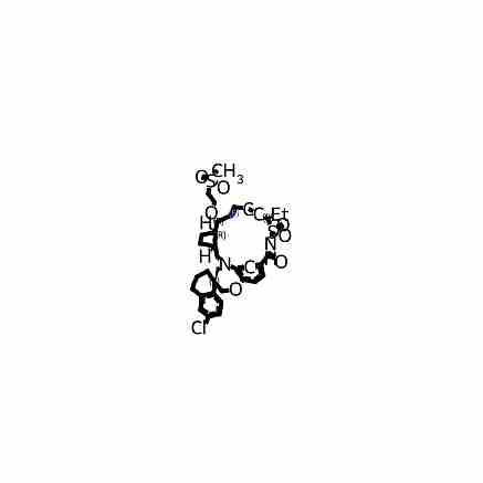 CC[C@@H]1CC/C=C/[C@H](OCCS(C)(=O)=O)[C@@H]2CC[C@H]2CN2C[C@@]3(CCCc4cc(Cl)ccc43)COc3ccc(cc32)C(=O)NS1(=O)=O